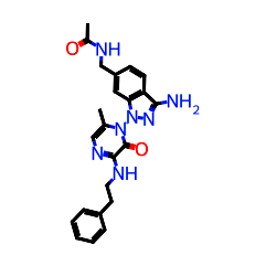 CC(=O)NCc1ccc2c(N)nn(-n3c(C)cnc(NCCc4ccccc4)c3=O)c2c1